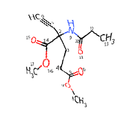 C#CC(CCC(=O)OC)(NC(=O)CC)C(=O)OC